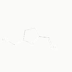 C=CC1CCC(CO)O1